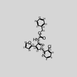 O=C(Nc1nn(-c2ncccc2Cl)cc1-c1ccco1)OCc1ccccc1